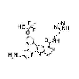 NCc1ccc(-c2nc3ccnc(C(=O)NCCc4ncn[nH]4)c3cc2-c2ccccc2)cc1.O=C(O)C(F)(F)F